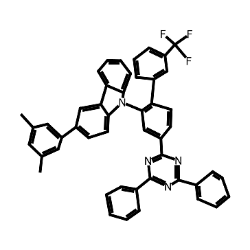 Cc1cc(C)cc(-c2ccc3c(c2)c2ccccc2n3-c2cc(-c3nc(-c4ccccc4)nc(-c4ccccc4)n3)ccc2-c2cccc(C(F)(F)F)c2)c1